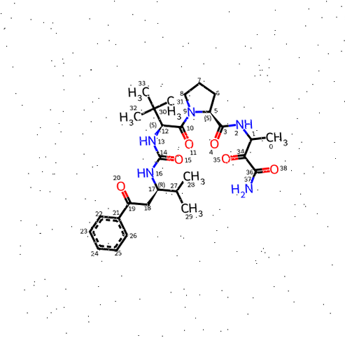 CC(NC(=O)[C@@H]1CCCN1C(=O)[C@@H](NC(=O)N[C@H](CC(=O)c1ccccc1)C(C)C)C(C)(C)C)C(=O)C(N)=O